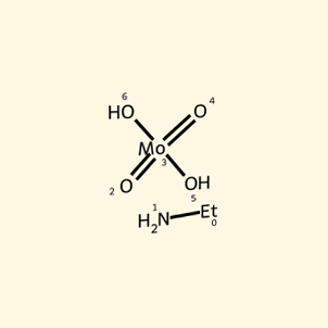 CCN.[O]=[Mo](=[O])([OH])[OH]